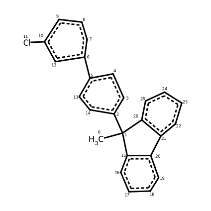 CC1(c2ccc(-c3cccc(Cl)c3)cc2)c2ccccc2-c2ccccc21